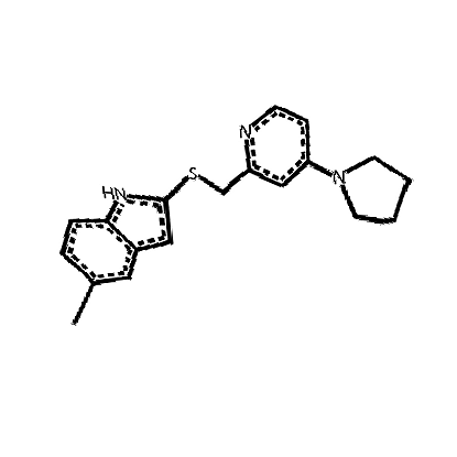 Cc1ccc2[nH]c(SCc3cc(N4CCCC4)ccn3)cc2c1